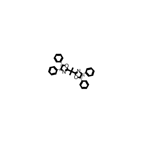 CC(C)(C1=N[C@H](c2ccccc2)[C@H](c2ccccc2)O1)C1=N[C@H](c2ccccc2)[C@H](c2ccccc2)O1